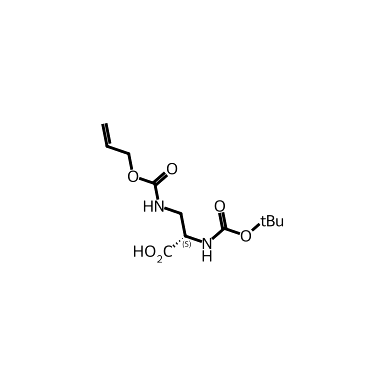 C=CCOC(=O)NC[C@H](NC(=O)OC(C)(C)C)C(=O)O